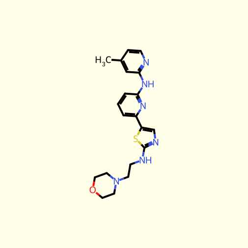 Cc1ccnc(Nc2cccc(-c3cnc(NCCN4CCOCC4)s3)n2)c1